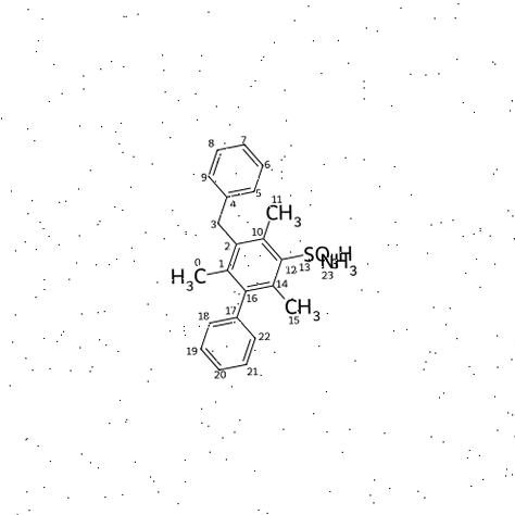 Cc1c(Cc2ccccc2)c(C)c(S(=O)(=O)O)c(C)c1-c1ccccc1.N